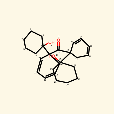 O=C(C1(C2(O)CCCCC2)C=CC=CC1)C1(C2(O)CCCCC2)C=CC=CC1